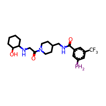 O=C(NCC1CCN(C(=O)CNC2CCCCC2O)CC1)c1cc(P)cc(C(F)(F)F)c1